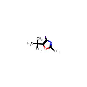 Cc1nc(I)c(C(C)(C)C)o1